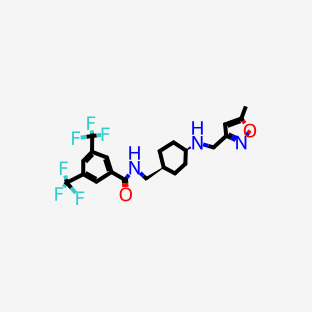 Cc1cc(CN[C@H]2CC[C@H](CNC(=O)c3cc(C(F)(F)F)cc(C(F)(F)F)c3)CC2)no1